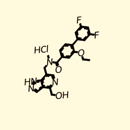 CCOc1cc(C(=O)N(C)Cc2cnc(CO)c3cn[nH]c23)ccc1-c1cc(F)cc(F)c1.Cl